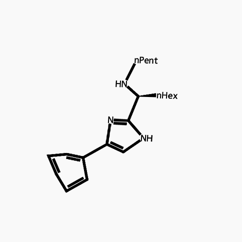 CCCCCC[C@H](NCCCCC)c1nc(-c2ccccc2)c[nH]1